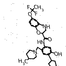 CC1CCN(Cc2cc(C3CCCC3)c(O)cc2NC(=O)C2CNc3cc(OC(C)(F)F)ccc3O2)CC1